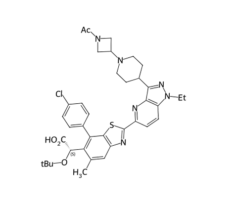 CCn1nc(C2CCN(C3CN(C(C)=O)C3)CC2)c2nc(-c3nc4cc(C)c([C@H](OC(C)(C)C)C(=O)O)c(-c5ccc(Cl)cc5)c4s3)ccc21